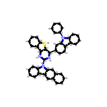 c1ccc(-n2c3ccccc3c3ccc(-c4nc(-n5c6ccccc6c6cc7ccccc7cc65)nc5c4sc4ccccc45)cc32)cc1